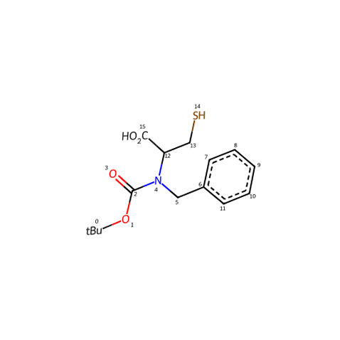 CC(C)(C)OC(=O)N(Cc1ccccc1)C(CS)C(=O)O